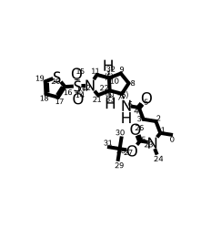 CC(CCC(=O)N[C@H]1CC[C@@H]2CN(S(=O)(=O)c3cccs3)C[C@@H]21)N(C)C(=O)OC(C)(C)C